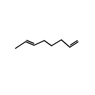 C=CCCCC=[C]C